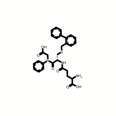 NC(CCC(=O)N[C@@H](CSCc1ccccc1-c1ccccc1)C(=O)N(CC(=O)O)c1ccccc1)C(=O)O